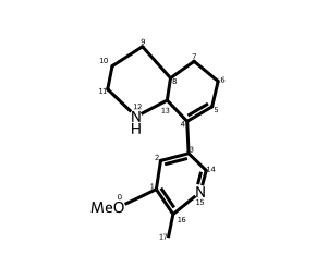 COc1cc(C2=CCCC3CCCNC23)cnc1C